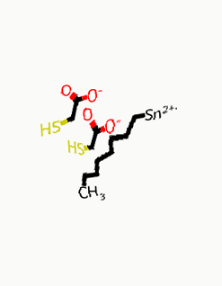 CCCCCCC[CH2][Sn+2].O=C([O-])CS.O=C([O-])CS